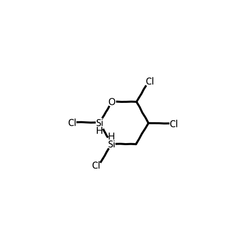 ClC1C[SiH](Cl)[SiH](Cl)OC1Cl